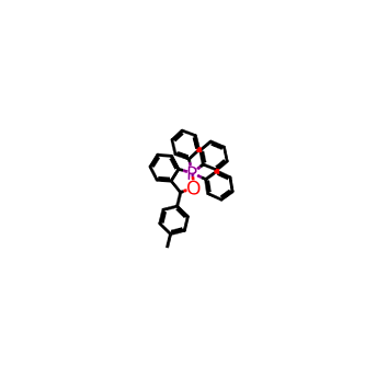 Cc1ccc(C2OP(c3ccccc3)(c3ccccc3)(c3ccccc3)c3ccccc32)cc1